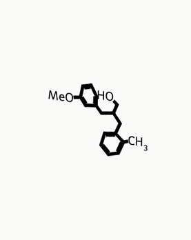 Cc1ccccc1CC(CO)Cc1cccc(O[13CH3])c1